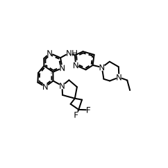 CCN1CCN(c2ccc(Nc3ncc4ccnc(N5CCC6(C5)CC(F)(F)C6)c4n3)nc2)CC1